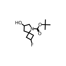 CC(C)(C)OC(=O)N1CC(O)CC12CC(F)C2